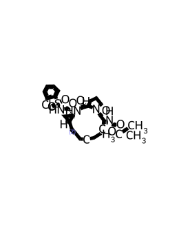 CC(C)(C)OC(=O)N[C@H]1CCCCC/C=C\[C@@H]2C[C@@]2(C(=O)NS(=O)(=O)c2ccccc2Cl)NC(=O)[C@@H]2CCCN2C1=O